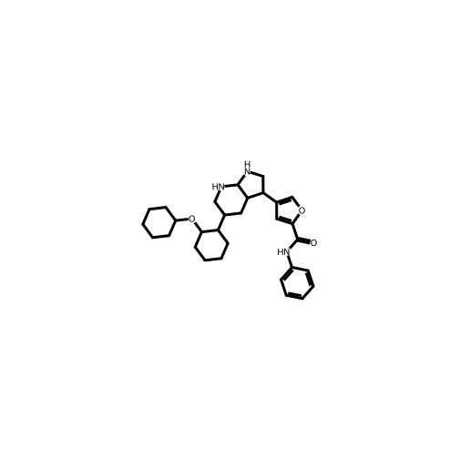 O=C(Nc1ccccc1)c1cc(C2CNC3NCC(C4CCCCC4OC4CCCCC4)CC32)co1